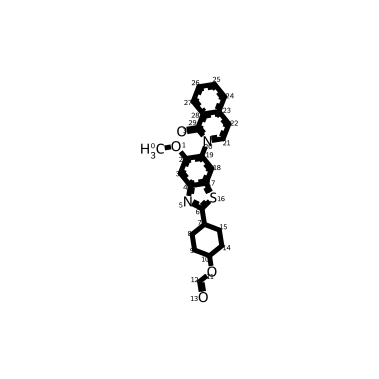 COc1cc2nc(C3CCC(OC=O)CC3)sc2cc1-n1ccc2ccccc2c1=O